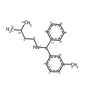 Cc1cccc(C(NCCC(C)C)c2ccccc2)c1